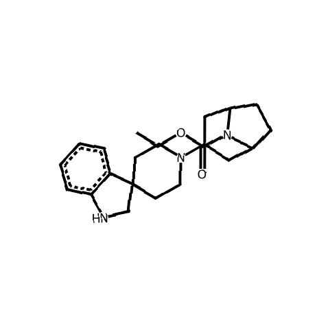 CCOC(=O)N1C2CCC1CC(N1CCC3(CC1)CNc1ccccc13)C2